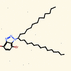 CCCCCCCCCCCCCCC(CCCCCCCCCCCC)n1nnc2c(Br)ccc(Br)c21